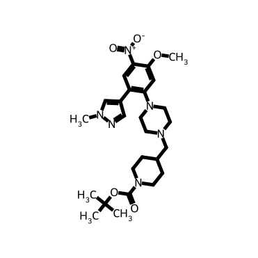 COc1cc(N2CCN(CC3CCN(C(=O)OC(C)(C)C)CC3)CC2)c(-c2cnn(C)c2)cc1[N+](=O)[O-]